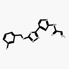 C=CC(=O)Nc1cc(-c2nnc(SCc3cccc(F)c3)o2)ccn1